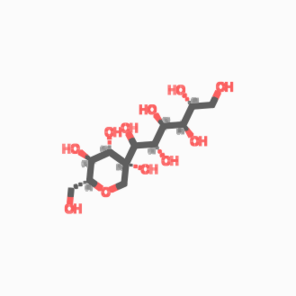 OC[C@@H](O)[C@@H](O)[C@H](O)[C@H](O)C(O)[C@@]1(O)CO[C@H](CO)[C@@H](O)[C@@H]1O